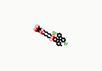 CCC1(COCCCCCCOc2ccc(C3(c4cc(C)ccc4C)c4cc(Br)ccc4-c4ccc(Br)cc43)cc2OCCCCCCOCC2(CC)COC2)COC1